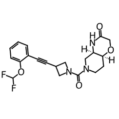 O=C1CO[C@H]2CCN(C(=O)N3CC(C#Cc4ccccc4OC(F)F)C3)C[C@H]2N1